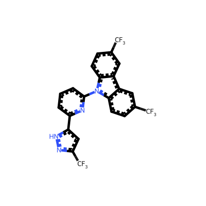 FC(F)(F)c1ccc2c(c1)c1cc(C(F)(F)F)ccc1n2-c1cccc(-c2cc(C(F)(F)F)n[nH]2)n1